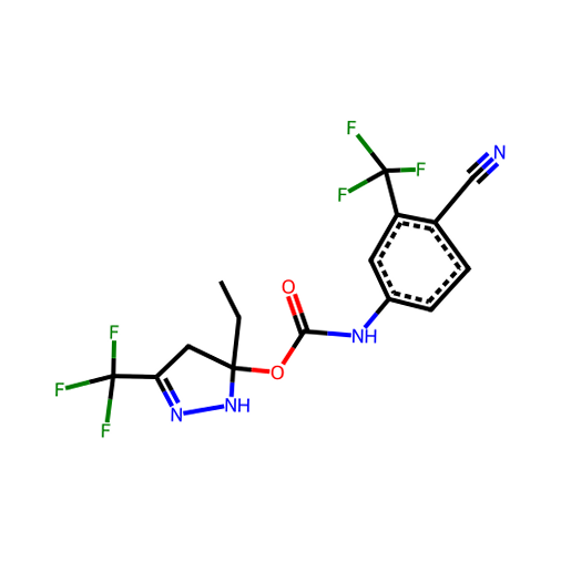 CCC1(OC(=O)Nc2ccc(C#N)c(C(F)(F)F)c2)CC(C(F)(F)F)=NN1